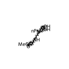 CCCN(CCCCCCNCCc1ccc(C(=O)OC)cc1)C1CCc2c(ccc(O)c2O)C1